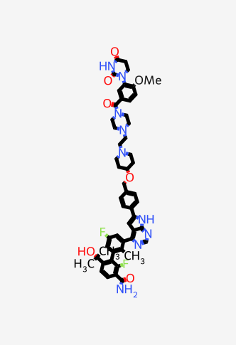 COc1ccc(C(=O)N2CCN(CCN3CCC(OCc4ccc(-c5cc6c(-c7cc(F)cc(-c8c(C(C)(C)O)ccc(C(N)=O)c8F)c7C)ncnc6[nH]5)cc4)CC3)CC2)cc1N1CCC(=O)NC1=O